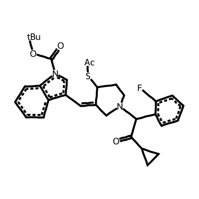 CC(=O)SC1CCN(C(C(=O)C2CC2)c2ccccc2F)CC1=Cc1cn(C(=O)OC(C)(C)C)c2ccccc12